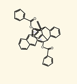 C=C1/C(OC(=O)c2ccccc2)=c2/cc3ccccc3c/c2=C(\OC(=O)c2ccccc2)C2c3ccccc3C1c1ccccc12